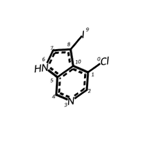 Clc1cncc2[nH]cc(I)c12